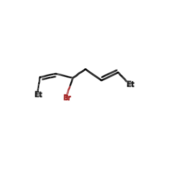 CC/C=C\C(Br)C/C=C/CC